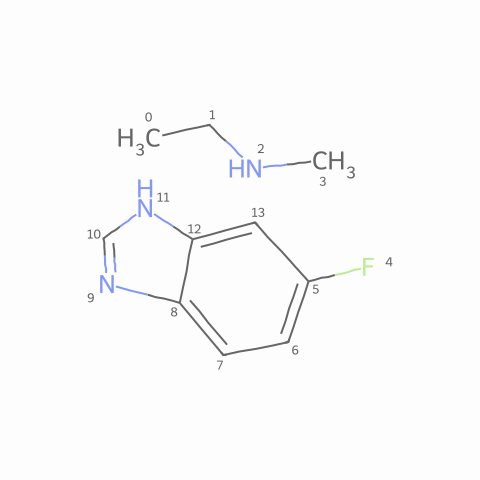 CCNC.Fc1ccc2nc[nH]c2c1